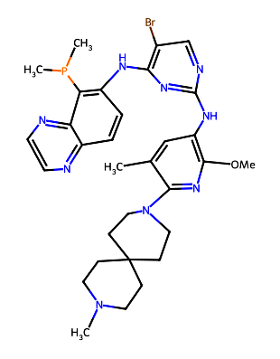 COc1nc(N2CCC3(CCN(C)CC3)CC2)c(C)cc1Nc1ncc(Br)c(Nc2ccc3nccnc3c2P(C)C)n1